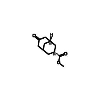 COC(=O)[C@@H]1CC2CC(=O)C[C@@H](C2)C1